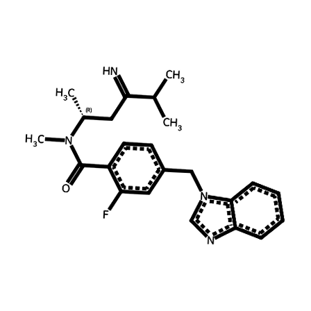 CC(C)C(=N)C[C@@H](C)N(C)C(=O)c1ccc(Cn2cnc3ccccc32)cc1F